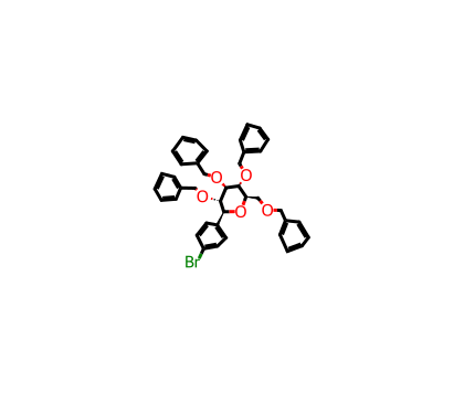 Brc1ccc([C@@H]2O[C@H](COCc3ccccc3)[C@@H](OCc3ccccc3)[C@H](OCc3ccccc3)[C@H]2OCc2ccccc2)cc1